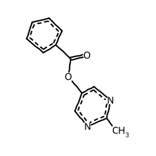 Cc1ncc(OC(=O)c2ccccc2)cn1